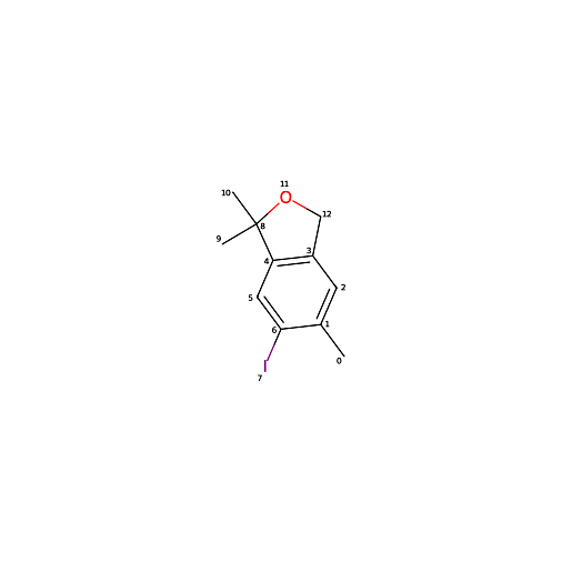 Cc1cc2c(cc1I)C(C)(C)OC2